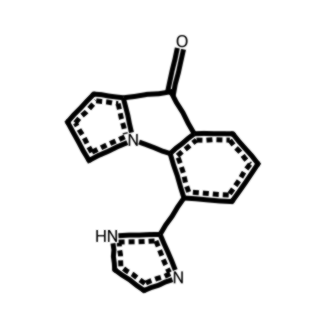 O=C1c2cccc(-c3ncc[nH]3)c2-n2cccc21